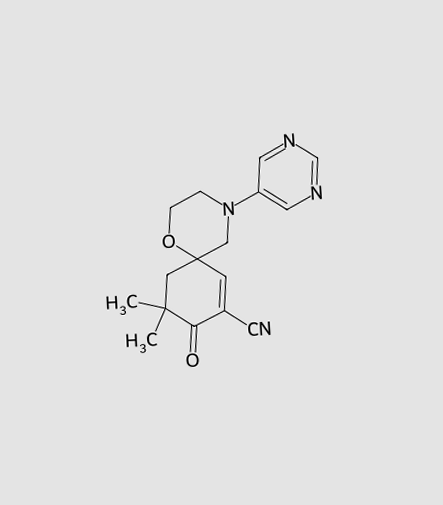 CC1(C)CC2(C=C(C#N)C1=O)CN(c1cncnc1)CCO2